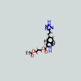 CCC(=O)OCCCOC(=O)[C@@H]1C[C@H]2C[C@@H](CCc3nn[nH]n3)CC[C@H]2CN1